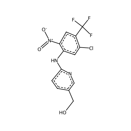 O=[N+]([O-])c1cc(C(F)(F)F)c(Cl)cc1Nc1ccc(CO)cn1